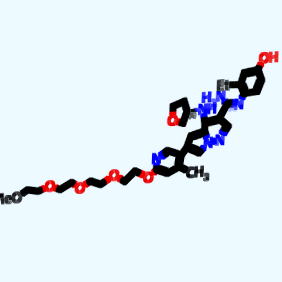 CCc1cc(O)ccc1/N=C(\N)c1cnn2cc(-c3cnc(OCCOCCOCCOCCOC)cc3C)cc2c1N[C@H]1CCOC1